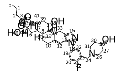 CCC[C@@H]1O[C@@H]2C[C@H]3[C@@H]4CCC5=Cc6c(cnn6-c6ccc(F)c(CN7CCC(O)CC7)c6)C[C@]5(C)[C@H]4[C@@H](O)C[C@]3(C)[C@]2(C(=O)CO)O1